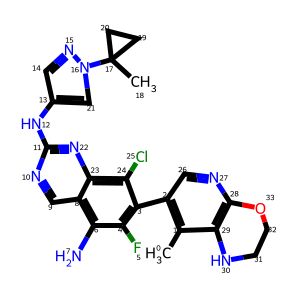 Cc1c(-c2c(F)c(N)c3cnc(Nc4cnn(C5(C)CC5)c4)nc3c2Cl)cnc2c1NCCO2